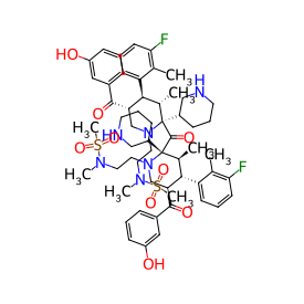 Cc1c(F)cccc1[C@@H]1[C@@H](C(=O)c2cccc(O)c2)CN(CCN(C)S(C)(=O)=O)[C@@](C(=O)[C@]2(C3CCCNC3)[C@@H](C)[C@H](c3cccc(F)c3C)[C@@H](C(=O)c3cccc(O)c3)CN2CCN(C)S(C)(=O)=O)(C2CCCNC2)[C@H]1C